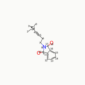 C[Si](C)(C)C#CCCN1C(=O)c2ccccc2C1=O